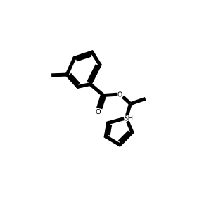 Cc1cccc(C(=O)OC(C)[SH]2C=CC=C2)c1